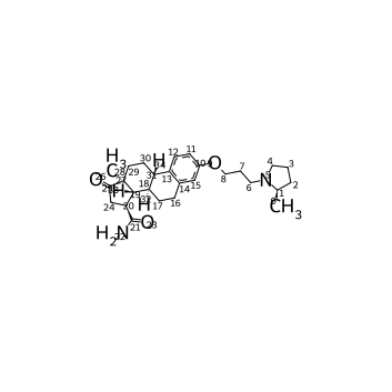 C[C@@H]1CCCN1CCCOc1ccc2c(c1)CC[C@H]1[C@@H]3[C@@H](C(N)=O)CC(=O)[C@@]3(C)CC[C@H]21